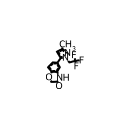 Cc1cc(-c2ccc3c(c2)NC(=O)CO3)n(CC(F)(F)F)n1